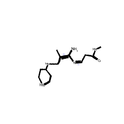 CNC(=O)C/C=N\C(N)=C(\C)CNC1CCNCC1